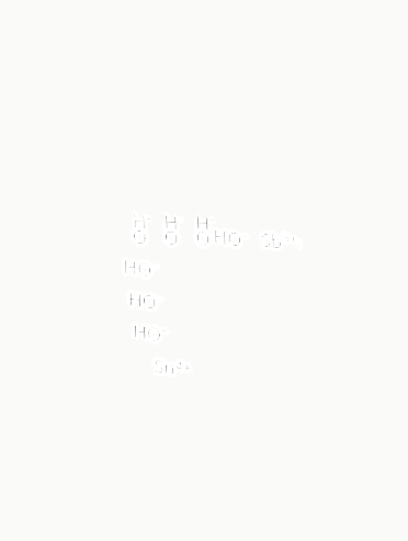 [OH-].[OH-].[OH-].[OH-].[OH-].[OH-].[OH-].[Sb+3].[Sn+4]